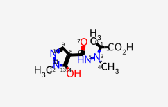 CC(C(=O)O)N(C)NC(=O)c1cnn(C)c1O